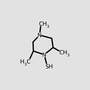 CC1CN(C)CC(C)N1S